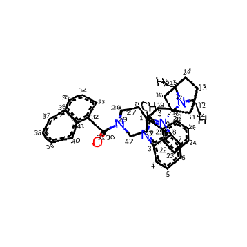 Cc1nc2ccccc2n1[C@H]1C[C@H]2CC[C@@H](C1)N2CCC1(c2ccccc2)CCN(C(=O)c2cccc3ccccc23)CC1